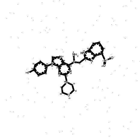 NN(Cc1nc2c([N+](=O)[O-])cccc2[nH]1)c1nc(N2CCOCC2)nc2c1ncn2-c1ccc(F)cc1